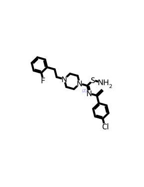 C=C(/N=C(\SN)N1CCN(CCc2ccccc2F)CC1)c1ccc(Cl)cc1